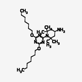 CCCCCCCOc1nc(OCCCCCCC)nc(N2C(C)(C)CC(N)CC2(C)C)n1